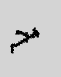 CCCCC/C=C\C/C=C\CCCCCCCC(=O)OCC(COC(=O)C[C@@]12CC(C)CC(C[C@H](CC)C1)C2)COC(=O)OCCCN1CCCC1